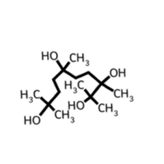 CC(C)(O)CCC(C)(O)CCC(C)(O)C(C)(C)O